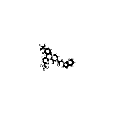 CC1CN(c2ccc(C(F)(F)F)cc2-c2cnc(S(C)(=O)=O)nc2)CCN1C(=O)Cn1ccc2cccnc21